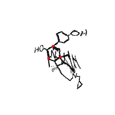 Oc1ccc(CN2CC[C@]34CCN(CC5CC5)[C@H](Cc5ccc(O)cc53)[C@@H]4C2)cc1